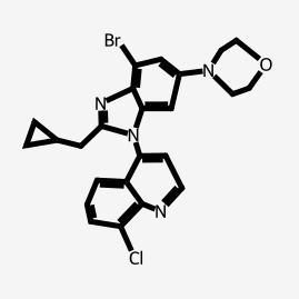 Clc1cccc2c(-n3c(CC4CC4)nc4c(Br)cc(N5CCOCC5)cc43)ccnc12